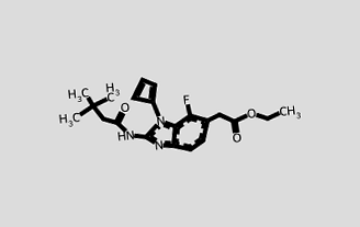 CCOC(=O)Cc1ccc2nc(NC(=O)CC(C)(C)C)n(C3=CC=C3)c2c1F